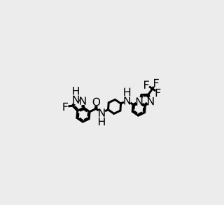 O=C(NC1CCC(Nc2cccc3nc(C(F)(F)F)cn23)CC1)c1cccc2c(F)[nH]nc12